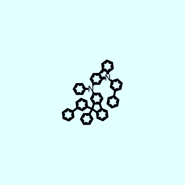 c1ccc(-c2cccc(-n3c4ccccc4c4ccc(N(c5ccccc5)c5ccc6c(c5)C(c5ccccc5)(c5cccc(-c7ccccc7)c5)c5ccccc5-6)cc43)c2)cc1